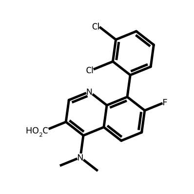 CN(C)c1c(C(=O)O)cnc2c(-c3cccc(Cl)c3Cl)c(F)ccc12